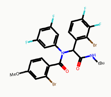 COc1ccc(C(=O)N(c2cc(F)cc(F)c2)C(C(=O)NC(C)(C)C)c2ccc(F)c(F)c2Br)c(Br)c1